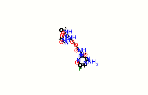 CC[C@H](NC(=O)[C@H]1C[C@@H](NCCOCCOCCC(=O)NCCn2nc3c(c2OC)-c2cnc(N)c(c2)N2CCC[C@@H]2c2cc(F)ccc2C(=O)N(C)C3)CN1C(=O)C(NC(=O)[C@@H](C)NC)C(C)(C)C)c1ccccc1